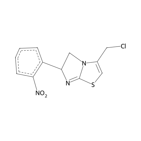 O=[N+]([O-])c1ccccc1C1CN2C(CCl)=CSC2=N1